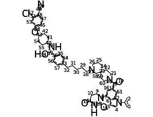 CC(C)n1ccc2c(N3CCC(=O)NC3=O)cc(C(=O)N3CCC4(CCCN(CCCCCc5ccc(C(O)N[C@H]6CC[C@H](Oc7ccc(C#N)c(Cl)c7)CC6)cc5)C4)CC3)cc21